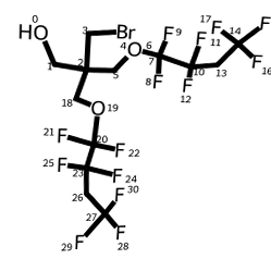 OCC(CBr)(COC(F)(F)C(F)(F)CC(F)(F)F)COC(F)(F)C(F)(F)CC(F)(F)F